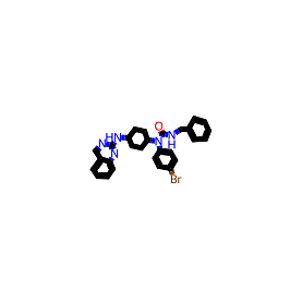 O=C(NCc1ccccc1)N(c1ccc(Br)cc1)C1CCC(Nc2ncc3ccccc3n2)CC1